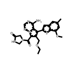 CCOCc1c(-c2cc3cc(C)cc(OC)c3s2)c2c(N)ncnn2c1C(=O)N1CNC(=O)C1